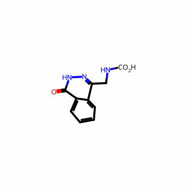 O=C(O)NCc1n[nH]c(=O)c2ccccc12